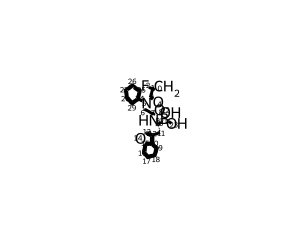 C=C(F)C(=O)N(CC(=O)N[C@@H](Cc1coc2ccccc12)B(O)O)c1ccccc1